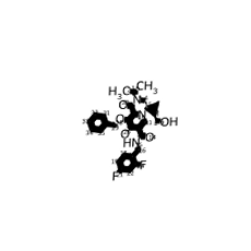 CC(C)N1C[C@@]2(C[C@H]2CO)n2cc(C(=O)NCc3ccc(F)cc3F)c(=O)c(OCc3ccccc3)c2C1=O